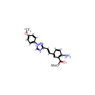 COC(=O)c1cc(/C=C/c2ncn(-c3ccc(OC(F)(F)F)cc3)n2)ccc1N